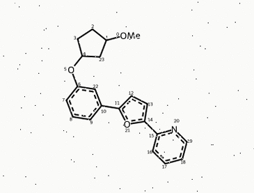 COC1CCC(Oc2cccc(-c3ccc(-c4ccccn4)o3)c2)C1